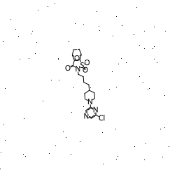 O=C1C2C3CCC(O3)C2S(=O)(=O)N1CCCCC1CCN(c2cncc(Cl)n2)CC1